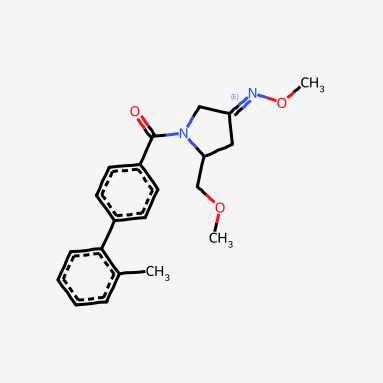 COCC1C/C(=N\OC)CN1C(=O)c1ccc(-c2ccccc2C)cc1